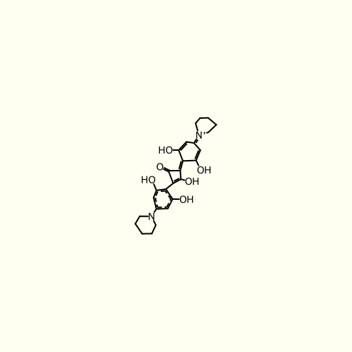 O=C1C(=C2C(O)=CC(=[N+]3CCCCC3)C=C2O)C(O)=C1c1c(O)cc(N2CCCCC2)cc1O